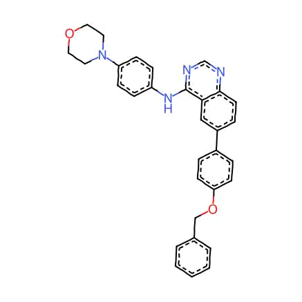 c1ccc(COc2ccc(-c3ccc4ncnc(Nc5ccc(N6CCOCC6)cc5)c4c3)cc2)cc1